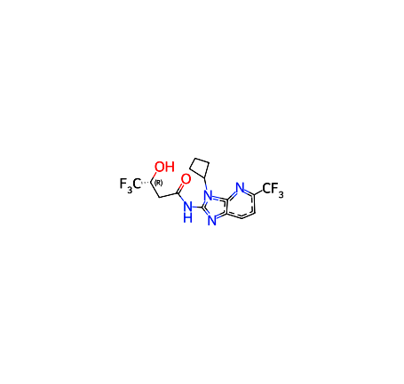 O=C(C[C@@H](O)C(F)(F)F)Nc1nc2ccc(C(F)(F)F)nc2n1C1CCC1